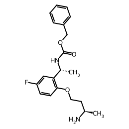 C[C@@H](N)CCOc1ccc(F)cc1[C@@H](C)NC(=O)OCc1ccccc1